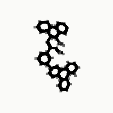 C=C/C(=C\c1c(C)c2ccccc2c2ccccc12)c1cccc(-c2ccc3c4ccccc4c4nccnc4c3c2)c1